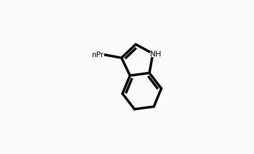 CCCc1c[nH]c2c1=CCCC=2